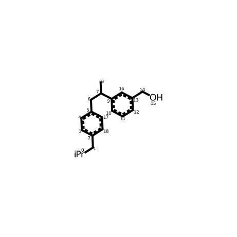 CC(C)Cc1ccc(CC(C)c2cccc(CO)c2)cc1